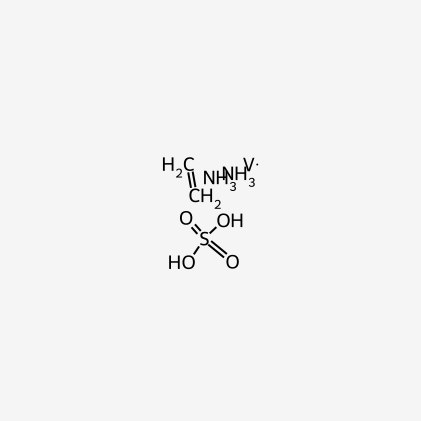 C=C.N.N.O=S(=O)(O)O.[V]